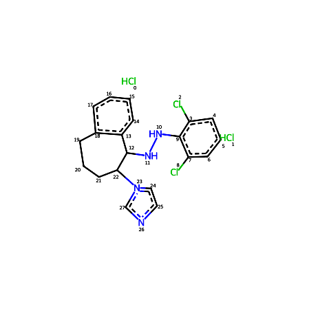 Cl.Cl.Clc1cccc(Cl)c1NNC1c2ccccc2CCCC1n1ccnc1